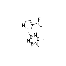 CB1N(C)B(C)N(C)B(C)N1C.FC(F)c1ccncc1